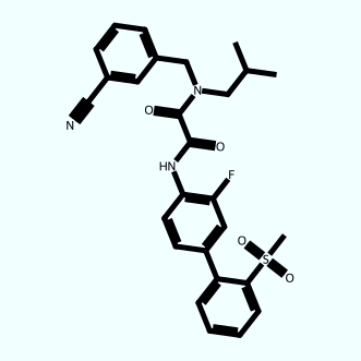 CC(C)CN(Cc1cccc(C#N)c1)C(=O)C(=O)Nc1ccc(-c2ccccc2S(C)(=O)=O)cc1F